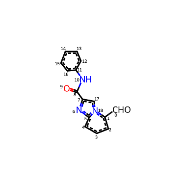 O=Cc1cccc2nc(C(=O)Nc3ccccc3)cn12